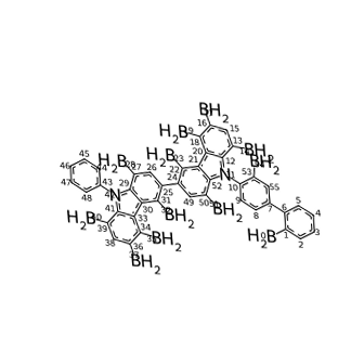 Bc1ccccc1-c1ccc(-n2c3c(B)cc(B)c(B)c3c3c(B)c(-c4cc(B)c5c(c4B)c4c(B)c(B)cc(B)c4n5-c4ccccc4)cc(B)c32)c(B)c1